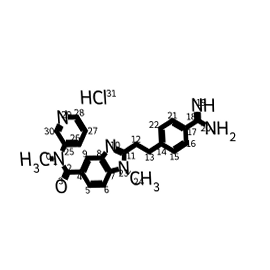 CN(C(=O)c1ccc2c(c1)nc(CCc1ccc(C(=N)N)cc1)n2C)c1cccnc1.Cl